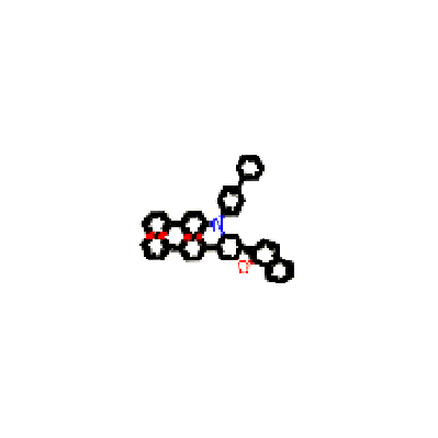 c1ccc(-c2ccc(-c3cc4oc5c6ccccc6ccc5c4cc3N(c3ccc(-c4ccccc4)cc3)c3ccc(-c4ccccc4)cc3)cc2)cc1